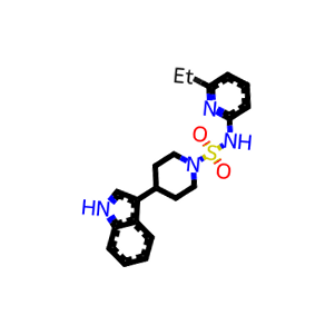 CCc1cccc(NS(=O)(=O)N2CCC(c3c[nH]c4ccccc34)CC2)n1